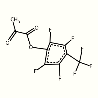 CC(=O)C(=O)Oc1c(F)c(F)c(C(F)(F)F)c(F)c1F